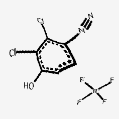 F[B-](F)(F)F.N#[N+]c1ccc(O)c(Cl)c1Cl